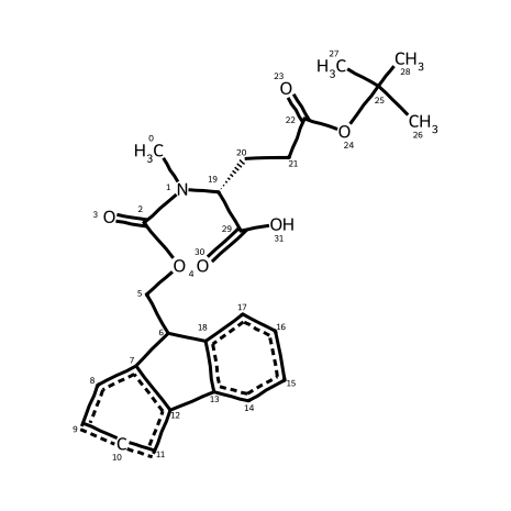 CN(C(=O)OCC1c2ccccc2-c2ccccc21)[C@H](CCC(=O)OC(C)(C)C)C(=O)O